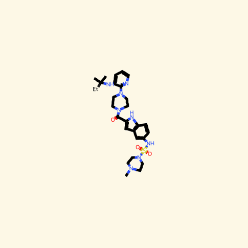 CCC(C)(C)Nc1cccnc1N1CCN(C(=O)c2cc3cc(NS(=O)(=O)N4CCN(C)CC4)ccc3[nH]2)CC1